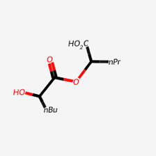 CCCCC(O)C(=O)OC(CCC)C(=O)O